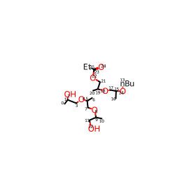 CC(O)COC(C)COC(C)CO.CCCCOC(C)COC(C)COC(=O)CC